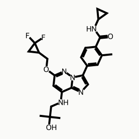 Cc1cc(-c2cnc3c(NCC(C)(C)O)cc(OCC4CC4(F)F)nn23)ccc1C(=O)NC1CC1